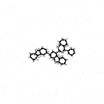 c1ccc(-c2nc(-c3cc(-c4ccc5oc6ccccc6c5c4)cc4sc5ccccc5c34)nc3ccccc23)cc1